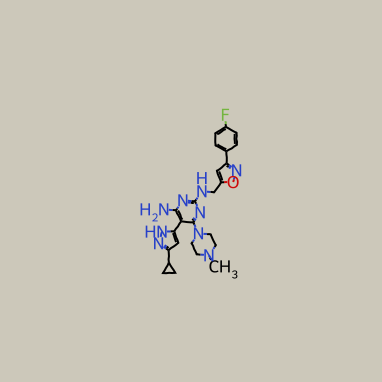 CN1CCN(c2nc(NCc3cc(-c4ccc(F)cc4)no3)nc(N)c2-c2cc(C3CC3)n[nH]2)CC1